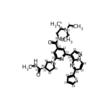 CCN(CC)[C@@H](C)CNC(=O)c1cc(-c2cnn3ccc(-c4cccs4)nc23)nc(N2CC[C@@H](C(=O)NC)C2)c1